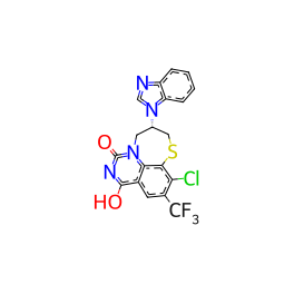 O=c1nc(O)c2cc(C(F)(F)F)c(Cl)c3c2n1C[C@H](n1cnc2ccccc21)CS3